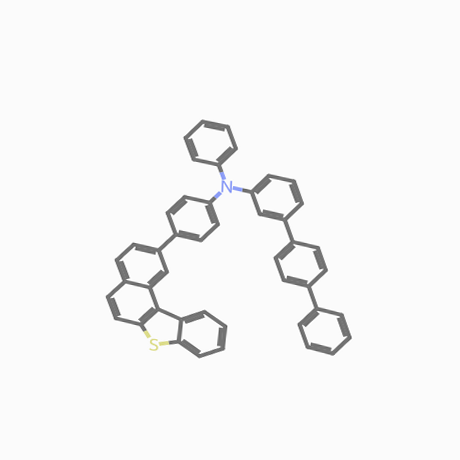 c1ccc(-c2ccc(-c3cccc(N(c4ccccc4)c4ccc(-c5ccc6ccc7sc8ccccc8c7c6c5)cc4)c3)cc2)cc1